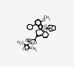 COc1ccc(C2CCCCC2)c2c1cc1n2CC2=C(C(=O)NS(=O)(=O)c3c(C)noc3C)C2=C2C=CC[C@@H](C(=O)N3C4CCC3CN(C)C4)C21